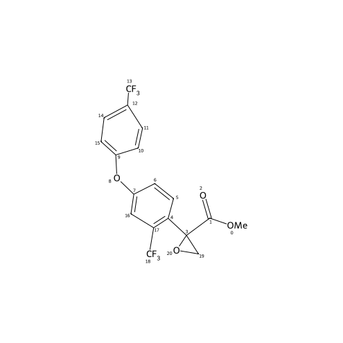 COC(=O)C1(c2ccc(Oc3ccc(C(F)(F)F)cc3)cc2C(F)(F)F)CO1